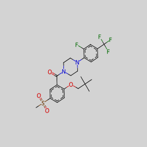 CC(C)(C)COc1ccc(S(C)(=O)=O)cc1C(=O)N1CCN(c2ccc(C(F)(F)F)cc2F)CC1